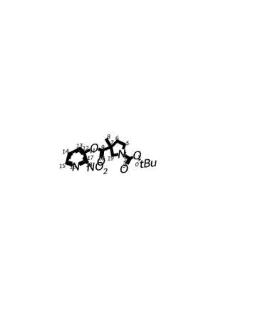 CC(C)(C)OC(=O)N1CCC(C)(C(=O)Oc2cccnc2[N+](=O)[O-])C1